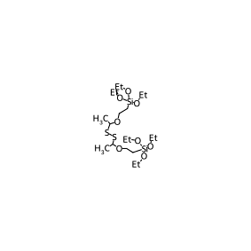 CCO[Si](CCOC(C)SSC(C)OCC[Si](OCC)(OCC)OCC)(OCC)OCC